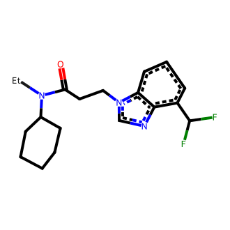 CCN(C(=O)CCn1cnc2c(C(F)F)cccc21)C1CCCCC1